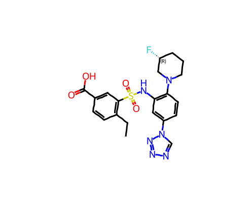 CCc1ccc(C(=O)O)cc1S(=O)(=O)Nc1cc(-n2cnnn2)ccc1N1CCC[C@@H](F)C1